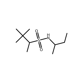 CCC(C)NS(=O)(=O)C(C)C(C)(C)C